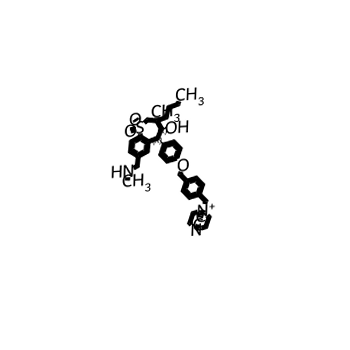 CCCCC1(C)CS(=O)(=O)c2ccc(CNC)cc2[C@@H](c2ccc(OCc3ccc(C[N+]45CCN(CC4)CC5)cc3)cc2)[C@H]1O